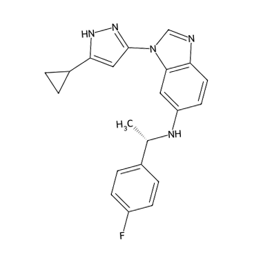 C[C@H](Nc1ccc2ncn(-c3cc(C4CC4)[nH]n3)c2c1)c1ccc(F)cc1